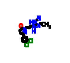 CC/N=C(\NC#N)NCCCN1N=C(c2ccc(Cl)c(Cl)c2)CCC1=O